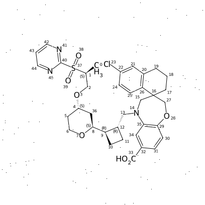 C[C@@H](CO[C@H]1CCO[C@H]([C@@H]2CC[C@H]2CN2CC3(CCCc4cc(Cl)ccc43)COc3ccc(C(=O)O)cc32)C1)S(=O)(=O)c1ncccn1